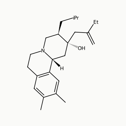 C=C(CC)C[C@@]1(O)C[C@@H]2c3cc(C)c(C)cc3CCN2C[C@H]1CC(C)C